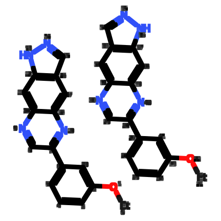 CCOc1cccc(-c2cnc3cc4[nH]ncc4cc3n2)c1.CCOc1cccc(-c2cnc3cc4cn[nH]c4cc3n2)c1